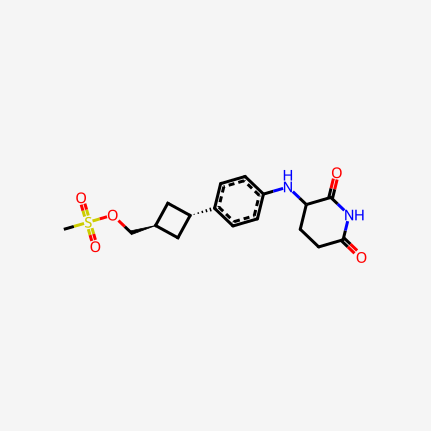 CS(=O)(=O)OC[C@H]1C[C@H](c2ccc(NC3CCC(=O)NC3=O)cc2)C1